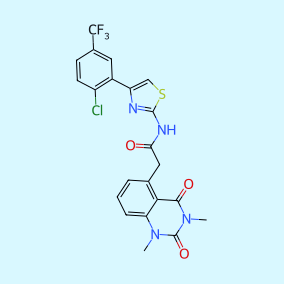 Cn1c(=O)c2c(CC(=O)Nc3nc(-c4cc(C(F)(F)F)ccc4Cl)cs3)cccc2n(C)c1=O